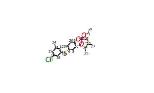 CCOP(=O)(Oc1ccc(Sc2cc(C)cc(Cl)c2)cc1)SC(C)CC